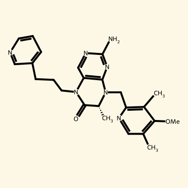 COc1c(C)cnc(CN2c3nc(N)ncc3N(CCCc3cccnc3)C(=O)[C@H]2C)c1C